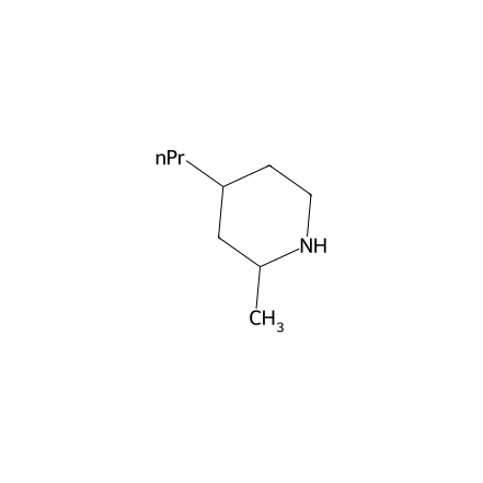 CCCC1CCNC(C)C1